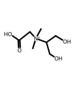 C[N+](C)(CC(=O)O)C(CO)CO